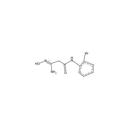 CC(C)c1ccccc1NC(=O)C/C(N)=N/O